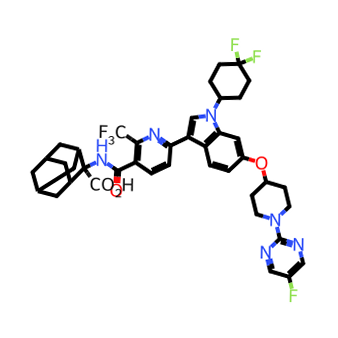 O=C(NC1(C(=O)O)C2CC3CC(C2)CC1C3)c1ccc(-c2cn(C3CCC(F)(F)CC3)c3cc(OC4CCN(c5ncc(F)cn5)CC4)ccc23)nc1C(F)(F)F